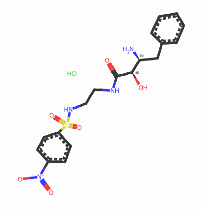 Cl.N[C@@H](Cc1ccccc1)[C@@H](O)C(=O)NCCNS(=O)(=O)c1ccc([N+](=O)[O-])cc1